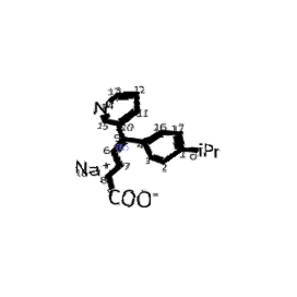 CC(C)c1ccc(/C(=C\CCC(=O)[O-])c2cccnc2)cc1.[Na+]